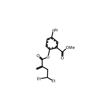 C=C(CC(CC)CC)C(=O)Oc1ccc(CCC)cc1C(=O)OC